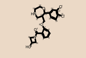 O=C(c1ccccc1OCC1CNCCOC1c1ccc(Cl)c(Cl)c1)N1CC(O)C1